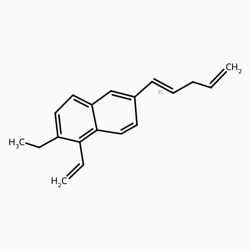 C=CC/C=C/c1ccc2c(C=C)c(CC)ccc2c1